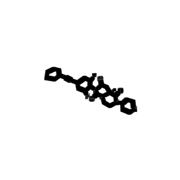 C[C@@]12CC(=O)N(c3c(F)cc(C#Cc4ccccc4)cc3F)C(=O)N1CCN(c1ccncc1)C2=O